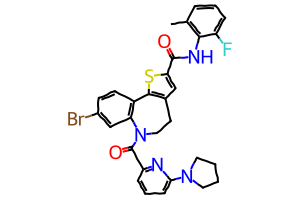 Cc1cccc(F)c1NC(=O)c1cc2c(s1)-c1ccc(Br)cc1N(C(=O)c1cccc(N3CCCC3)n1)CC2